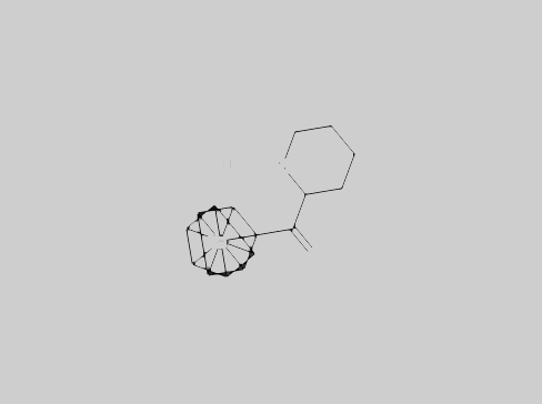 C.O=C(C1CCCCN1)[C]12[CH]3[CH]4[CH]5[CH]1[Fe]45321678[CH]2[CH]1[CH]6[CH]7[CH]28